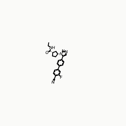 CCNC(=O)[C@H]1CC[C@@H](n2nncc2-c2ccc(-c3ccc(C#N)c(F)c3)cc2)C1